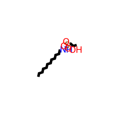 CCCCCCCCCCCCNOS(=O)(=O)CC(C)O